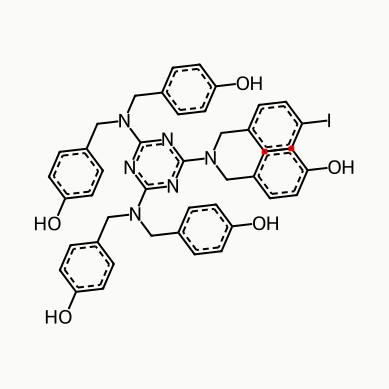 Oc1ccc(CN(Cc2ccc(O)cc2)c2nc(N(Cc3ccc(O)cc3)Cc3ccc(O)cc3)nc(N(Cc3ccc(O)cc3)Cc3ccc(I)cc3)n2)cc1